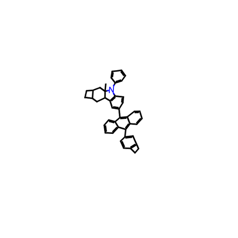 CC12CC3CCC3CC1c1cc(-c3c4ccccc4c(-c4ccc5c(c4)CC5)c4ccccc34)ccc1N2c1ccccc1